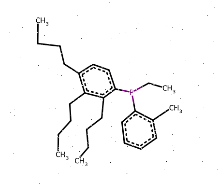 CCCCc1ccc(P(CC)c2ccccc2C)c(CCCC)c1CCCC